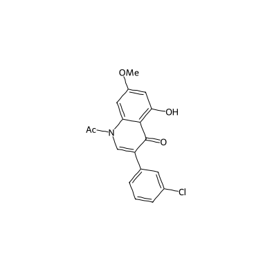 COc1cc(O)c2c(=O)c(-c3cccc(Cl)c3)cn(C(C)=O)c2c1